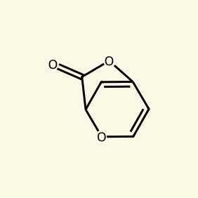 O=C1OC2=CC1OC=C2